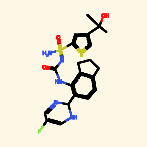 CC(C)(O)c1csc(S(N)(=O)=NC(=O)Nc2c(C3N=CC(F)=CN3)ccc3c2CCC3)c1